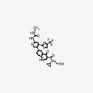 CCNC(=O)Nc1cc(-c2nc(C(F)(F)F)cs2)c(-c2ccc3[nH]cc(C(=O)N(CCO)C4CC4)c(=O)c3c2)cn1